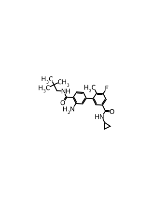 Cc1c(F)cc(C(=O)NC2CC2)cc1-c1ccc(C(=O)NCC(C)(C)C)c(N)c1